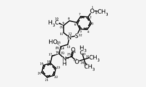 COc1ccc2c(c1)C[C@H](C)CN(C[C@@H](O)[C@H](Cc1ccccc1)NC(=O)OC(C)(C)C)S2